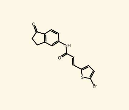 O=C(/C=C/c1ccc(Br)s1)Nc1ccc2c(c1)CCC2=O